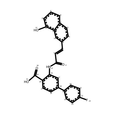 O=C(C=Cc1ccc2cccc(O)c2c1)Nc1cc(-c2ccc(F)cc2)ccc1C(=O)O